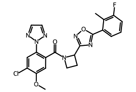 COc1cc(C(=O)N2CCC2c2noc(-c3cccc(F)c3C)n2)c(-n2nccn2)cc1Cl